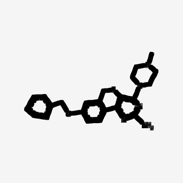 CN1CCN(c2nc(N)nc3c2SCc2cc(OCc4ccccc4)ccc2-3)CC1